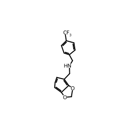 FC(F)(F)c1ccc(CNCc2cccc3c2OCO3)cc1